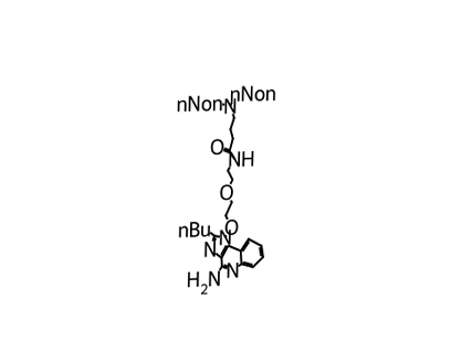 CCCCCCCCCN(CCCCCCCCC)CCCC(=O)NCCOCCOn1c(CCCC)nc2c(N)nc3ccccc3c21